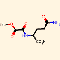 CC(C)(C)OC(=O)C(=O)NC(CCC(N)=O)C(=O)O